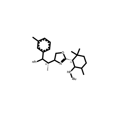 CCCC(c1cccc(C)c1)[C@@H](C)C1COC([C@H]2C(PC(C)CC)C(C)CCC2(C)C)=N1